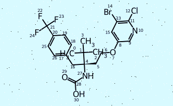 CC(C)(C)[C@@](CCOc1cnc(Cl)c(Br)c1)(Cc1ccc(C(F)(F)F)cc1)NC(=O)O